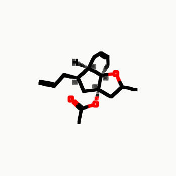 C=CC[C@@H]1C[C@]2(OC(C)=O)CC(C)O[C@@]23CC=CC[C@H]13